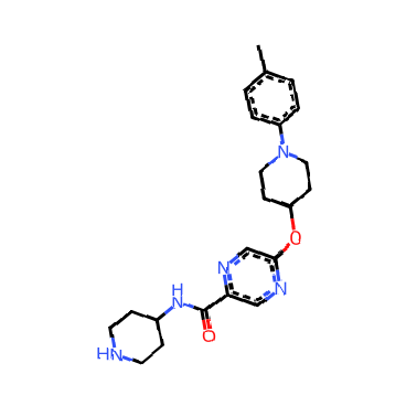 Cc1ccc(N2CCC(Oc3cnc(C(=O)NC4CCNCC4)cn3)CC2)cc1